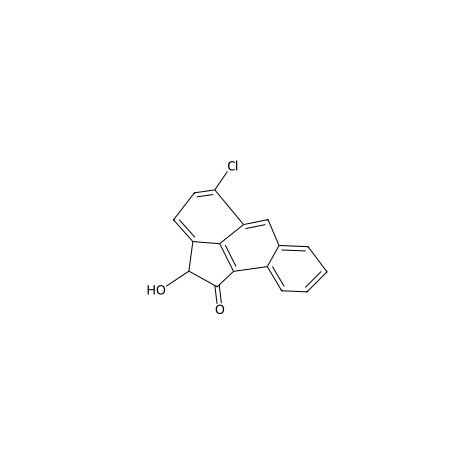 O=C1c2c3ccccc3cc3c(Cl)ccc(c23)C1O